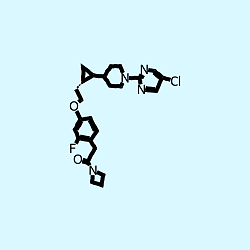 O=C(Cc1ccc(OCC[C@@H]2CC2C2CCN(c3ncc(Cl)cn3)CC2)cc1F)N1CCC1